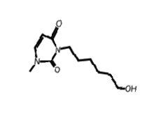 Cn1ccc(=O)n(CCCCCCO)c1=O